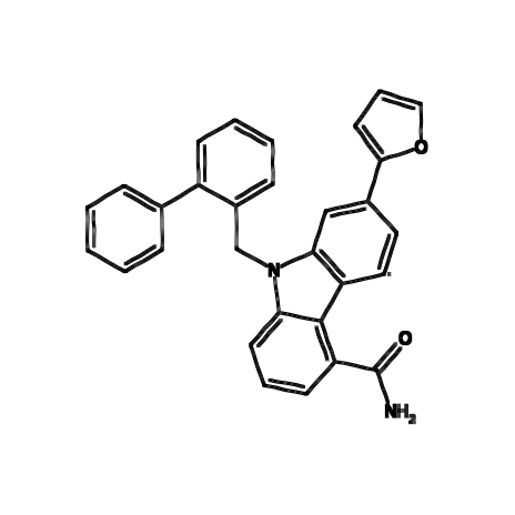 NC(=O)c1cccc2c1c1[c]cc(-c3ccco3)cc1n2Cc1ccccc1-c1ccccc1